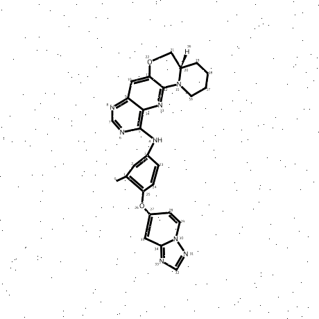 Cc1cc(Nc2ncnc3cc4c(nc23)N2CCCC[C@H]2CO4)ccc1Oc1ccn2ncnc2c1